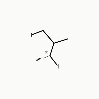 CC(CI)[C@@H](C)I